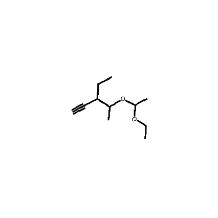 C#CC(CC)C(C)OC(C)OCC